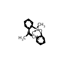 C=C(C)c1ccccc1[Si](C)(C)Oc1ccccc1